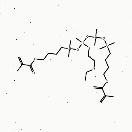 C=C(C)C(=O)OCCCC[Si](C)(C)O[Si](C)(C)O[Si](C)(CCCOCC)O[Si](C)(C)CCCCOC(=O)C(=C)C